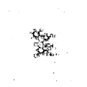 CCCNC(=O)c1cc(Cl)cc(Cl)c1N(C)C(=O)c1cc(Br)nn1-c1ncccc1Cl